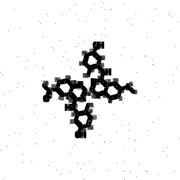 CSc1ccc2ncnc(Nc3cc(O)ccc3C)c2c1.Cc1ccc(O)cc1Nc1ncnc2ccc([S+](C)[O-])cc12